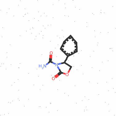 NC(=O)N1C(=O)OCC1c1ccccc1